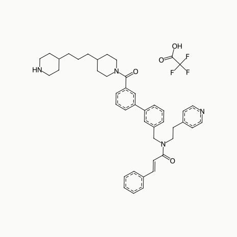 O=C(C=Cc1ccccc1)N(CCc1ccncc1)Cc1cccc(-c2cccc(C(=O)N3CCC(CCCC4CCNCC4)CC3)c2)c1.O=C(O)C(F)(F)F